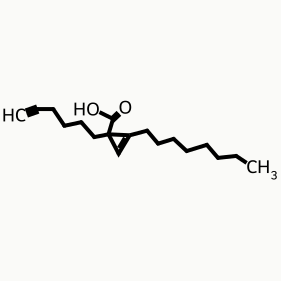 C#CCCCCC1(C(=O)O)C=C1CCCCCCCC